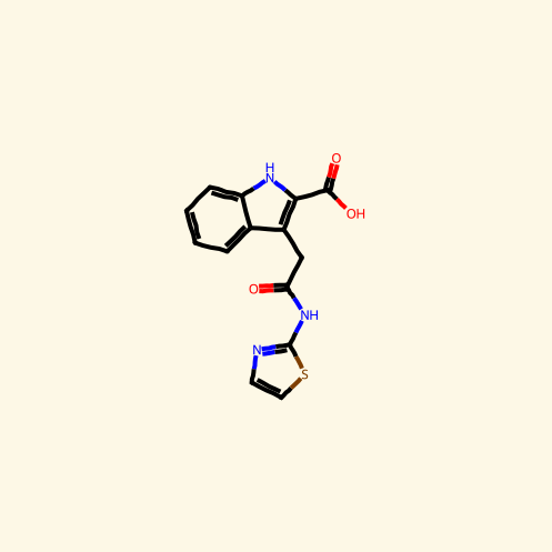 O=C(Cc1c(C(=O)O)[nH]c2ccccc12)Nc1nccs1